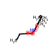 C=C1CCCC(C)=C1/C=C/C(C)=C/C=C/C(C)=C/COC(=O)CCCC(=O)NCCOP(=O)(O)OCCCOC(=O)CCCCCCC/C=C\CCCCCCCC